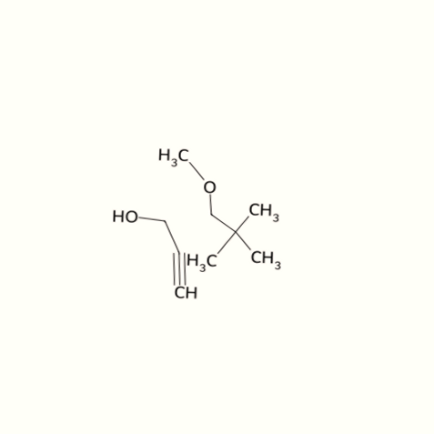 C#CCO.COCC(C)(C)C